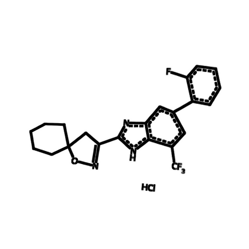 Cl.Fc1ccccc1-c1cc(C(F)(F)F)c2[nH]c(C3=NOC4(CCCCC4)C3)nc2c1